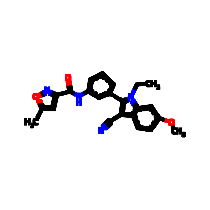 CCn1c(-c2cccc(NC(=O)c3cc(C)on3)c2)c(C#N)c2ccc(OC)cc21